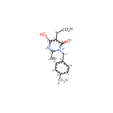 CCCCc1nc(O)c(CC(=O)O)c(=O)n1Cc1ccc(C(=O)O)cc1